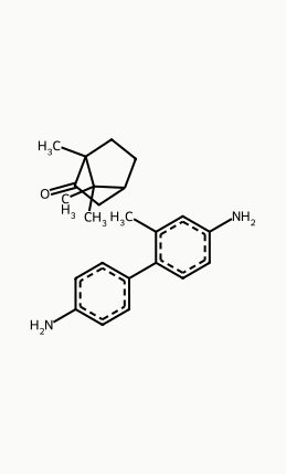 CC12CCC(CC1=O)C2(C)C.Cc1cc(N)ccc1-c1ccc(N)cc1